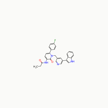 CCC(=O)Nc1ccc(-c2ccc(F)cc2)n(Cc2cncc(-c3c[nH]c4ccccc34)c2)c1=O